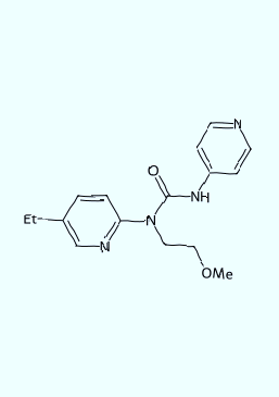 CCc1ccc(N(CCOC)C(=O)Nc2ccncc2)nc1